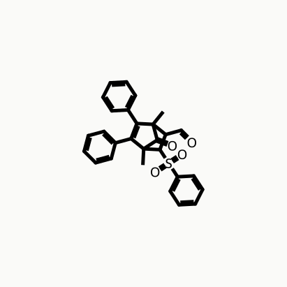 CC12C(=O)C(C)(C(c3ccccc3)=C1c1ccccc1)C(S(=O)(=O)c1ccccc1)C2C=O